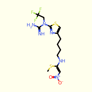 CSC(=C[N+](=O)[O-])NCCCCc1csc(N(CC(F)(F)F)C(=N)N)n1